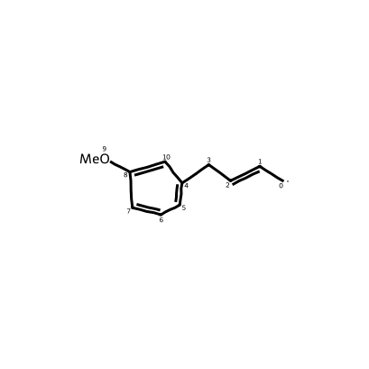 [CH2]C=CCc1cccc(OC)c1